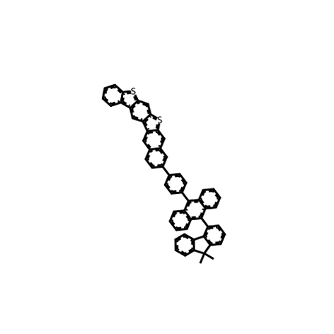 CC1(C)c2ccccc2-c2c(-c3c4ccccc4c(-c4ccc(-c5ccc6cc7c(cc6c5)sc5cc6sc8ccccc8c6cc57)cc4)c4ccccc34)cccc21